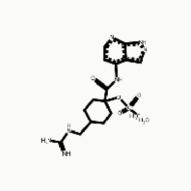 CS(=O)(=O)OC1(C(=O)Nc2ccnc3[nH]ncc23)CCC(CNC(=N)N)CC1.O